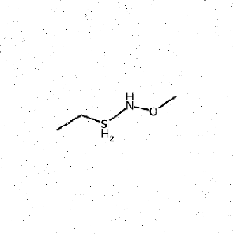 CC[SiH2]NOC